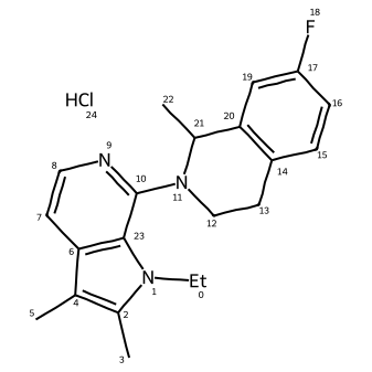 CCn1c(C)c(C)c2ccnc(N3CCc4ccc(F)cc4C3C)c21.Cl